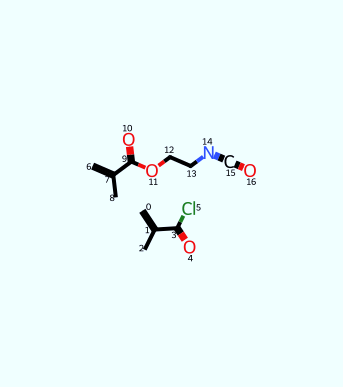 C=C(C)C(=O)Cl.C=C(C)C(=O)OCCN=C=O